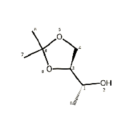 C[C@@H](O)[C@@H]1COC(C)(C)O1